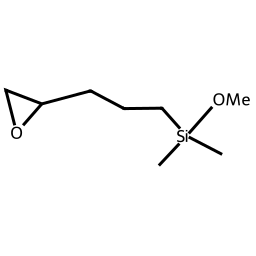 CO[Si](C)(C)CCCC1CO1